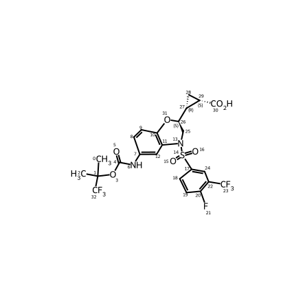 CC(C)(OC(=O)Nc1ccc2c(c1)N(S(=O)(=O)c1ccc(F)c(C(F)(F)F)c1)C[C@H]([C@@H]1C[C@@H]1C(=O)O)O2)C(F)(F)F